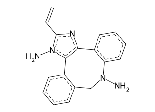 C=Cc1nc2c(n1N)-c1ccccc1CN(N)c1ccccc1-2